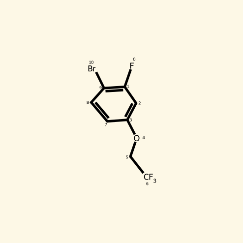 Fc1cc(OCC(F)(F)F)ccc1Br